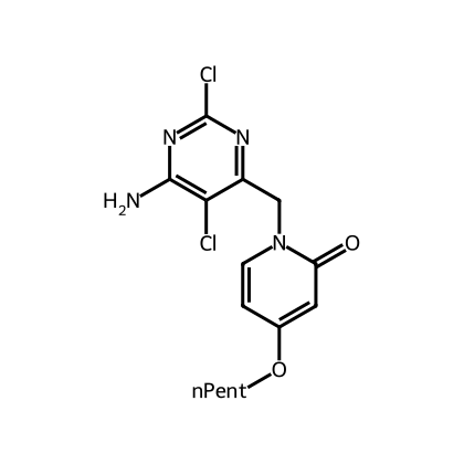 CCCCCOc1ccn(Cc2nc(Cl)nc(N)c2Cl)c(=O)c1